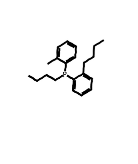 CCCCc1ccccc1P(CCCC)c1ccccc1C